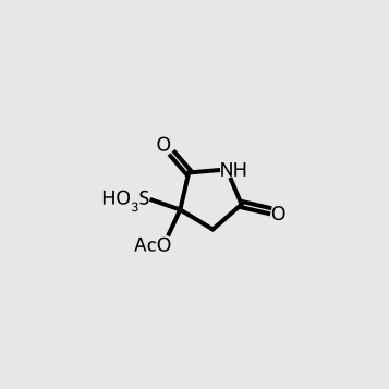 CC(=O)OC1(S(=O)(=O)O)CC(=O)NC1=O